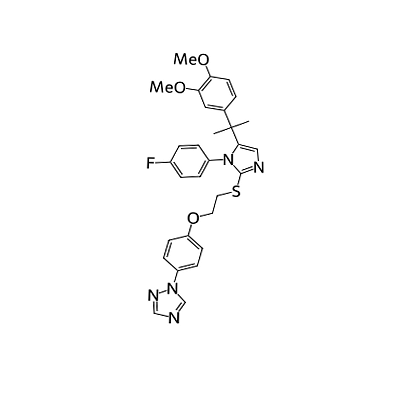 COc1ccc(C(C)(C)c2cnc(SCCOc3ccc(-n4cncn4)cc3)n2-c2ccc(F)cc2)cc1OC